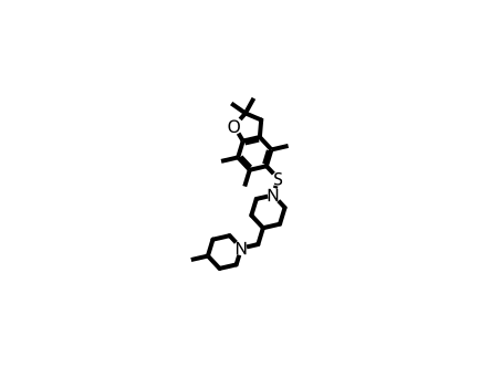 Cc1c(C)c(SN2CCC(CN3CCC(C)CC3)CC2)c(C)c2c1OC(C)(C)C2